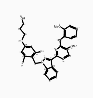 COc1cnccc1Nc1nc(-c2nn(Cc3c(F)cc(OCCCO)cc3F)c3ccccc23)ncc1OC